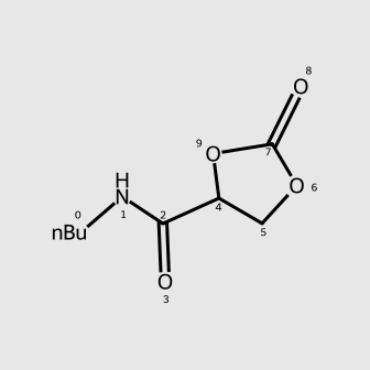 CCCCNC(=O)C1COC(=O)O1